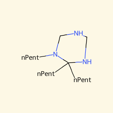 CCCCCN1CNCNC1(CCCCC)CCCCC